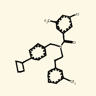 O=C(c1cc(Cl)cc(C(F)(F)F)c1)N(CCc1cccc(C(F)(F)F)c1)Cc1ccc(C2CCC2)cc1